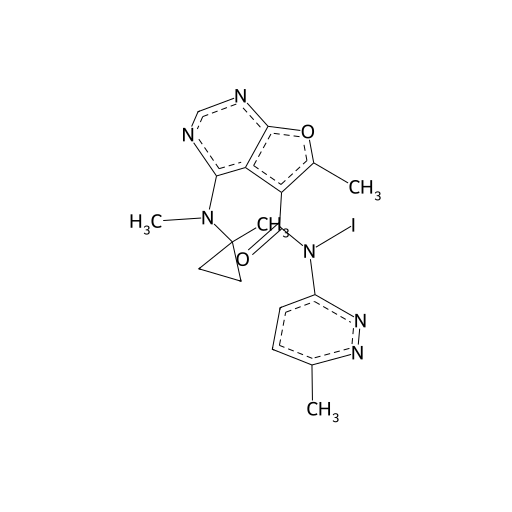 Cc1ccc(N(I)C(=O)c2c(C)oc3ncnc(N(C)C4(C)CC4)c23)nn1